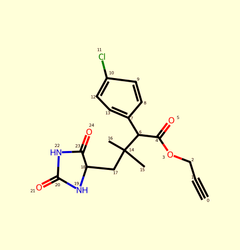 C#CCOC(=O)C(c1ccc(Cl)cc1)C(C)(C)CC1NC(=O)NC1=O